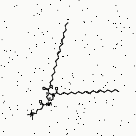 CCCCCC=CCC=CCCCCCCCCOC(=O)[C@@H]1C[C@@H](NC(=O)CCC[N+](C)(C)C)CN1C(=O)CCCCCCCC=CCC=CCCCCC